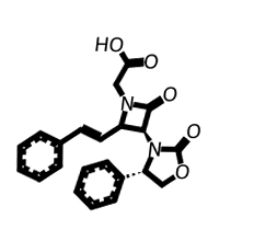 O=C(O)CN1C(=O)[C@@H](N2C(=O)OC[C@@H]2c2ccccc2)C1C=Cc1ccccc1